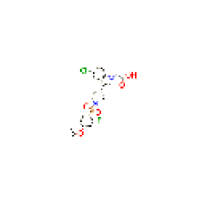 CC(C)Oc1ccc(S(=O)(=O)N2CCC(c3cn(CC(=O)O)c4ccc(Cl)cc34)CC2)c(F)c1